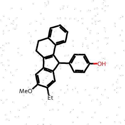 CCc1cc2c(cc1OC)C1=C(c3ccccc3CC1)C2c1ccc(O)cc1